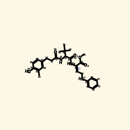 COC(=O)/C(=C\CNc1ccccc1)NC(=O)C(NC(=O)CCc1ccc(O)c(C)c1)C(C)(C)C